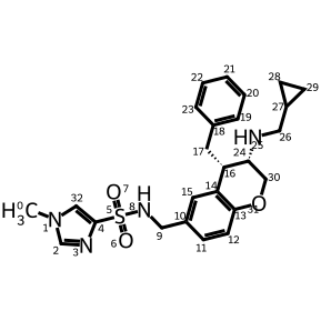 Cn1cnc(S(=O)(=O)NCc2ccc3c(c2)[C@H](Cc2ccccc2)[C@H](NCC2CC2)CO3)c1